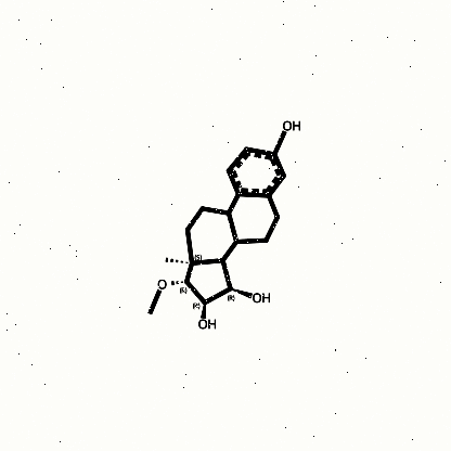 CO[C@H]1[C@H](O)[C@H](O)C2C3CCc4cc(O)ccc4C3CC[C@@]21C